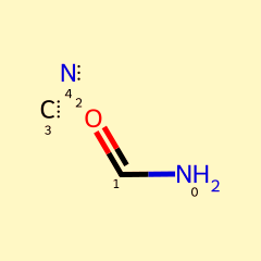 NC=O.[C].[N]